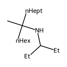 CCCCCCCC(C)(CCCCCC)NC(CC)CC